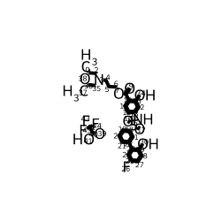 CC1CN(CCCOC(=O)c2ccc(NS(=O)(=O)c3cccc(-c4cc(F)ccc4O)c3)cc2O)CC(C)O1.O=C(O)C(F)(F)F